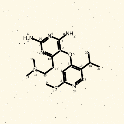 CSc1cc(Oc2c(N)nc(N)nc2CCN(C)C)c(C(C)C)cn1